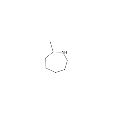 CC1CCCCCN1